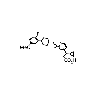 COc1ccc(F)c([C@H]2CC[C@@H](COc3cc(C(CC(=O)O)C4CC4)ccn3)CC2)c1